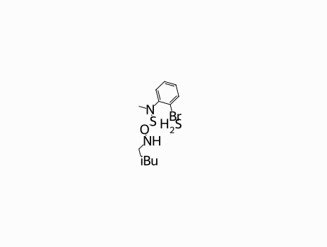 CCC(C)CNOSN(C)c1ccccc1Br.S